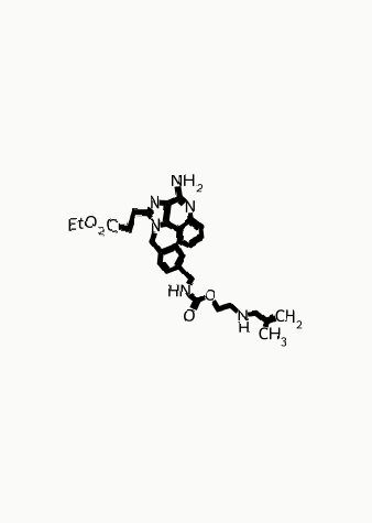 C=C(C)CNCCOC(=O)NCc1ccc(Cn2c(CCC(=O)OCC)nc3c(N)nc4ccccc4c32)cc1